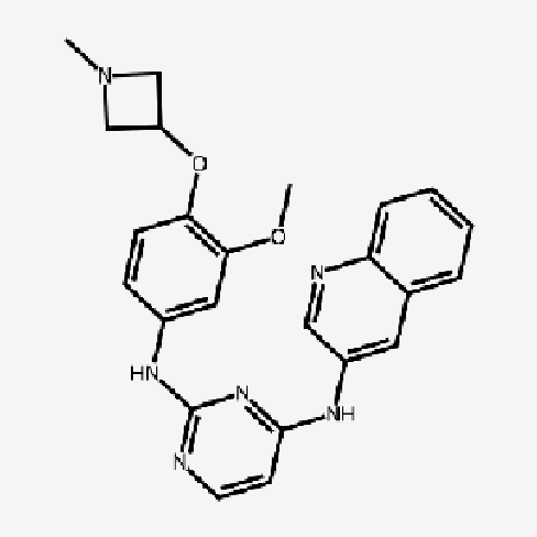 COc1cc(Nc2nccc(Nc3cnc4ccccc4c3)n2)ccc1OC1CN(C)C1